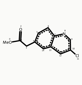 COC(=O)Cc1ccc2ncc(Cl)cc2c1